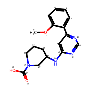 COc1ccccc1-c1cc(NC2CCCN(C(=O)O)C2)ncn1